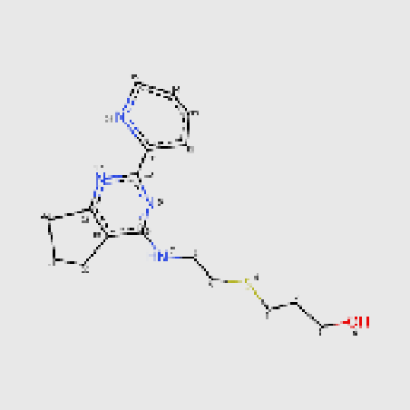 OCCCSCCNc1nc(-c2ccccn2)nc2c1CCC2